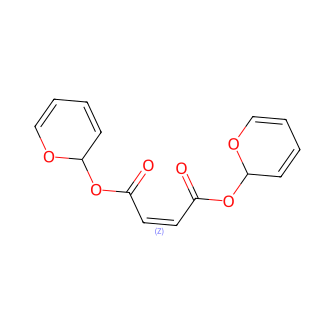 O=C(/C=C\C(=O)OC1C=CC=CO1)OC1C=CC=CO1